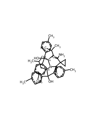 Cc1ccc(C(O)(c2ccc(C)cc2)[C@@H](CC(C)C)N(C(=O)C2(C(N)=O)CC2)[C@H](CC(C)C)C(O)(c2ccc(C)cc2)c2ccc(C)cc2)cc1